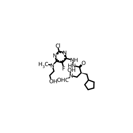 CN(CCO)c1nc(Cl)nc(NNC(=O)[C@@H](CC2CCCC2)CN(O)C=O)c1F